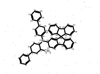 CC1CC(c2ccccc2)CCC1N(C1=CCC(c2ccccc2)C=C1)C1C=C2C(=CC1)c1ccccc1C21C2C=CC=CC2C2C=CC=CC21